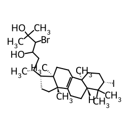 C[C@H](CC(O)C(Br)C(C)(C)O)[C@H]1CC[C@@]2(C)C3=C(CC[C@]12C)[C@@]1(C)CC[C@H](I)C(C)(C)[C@@H]1CC3